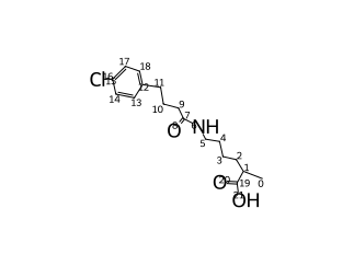 CC(CCCCNC(=O)CCCc1ccc(Cl)cc1)C(=O)O